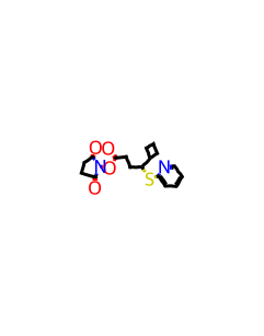 O=C(CCC(Sc1ccccn1)C1CCC1)ON1C(=O)CCC1=O